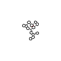 c1ccc(-c2cccc3cccc(-c4ccc(N(c5ccc6c7ccccc7n(-c7ccccc7)c6c5)c5ccc6c7c8ccccc8ccc7n(-c7ccccc7)c6c5)cc4)c23)cc1